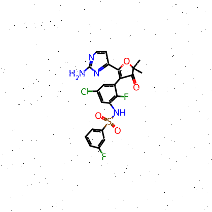 CC1(C)OC(c2ccnc(N)n2)=C(c2cc(Cl)cc(NS(=O)(=O)c3cccc(F)c3)c2F)C1=O